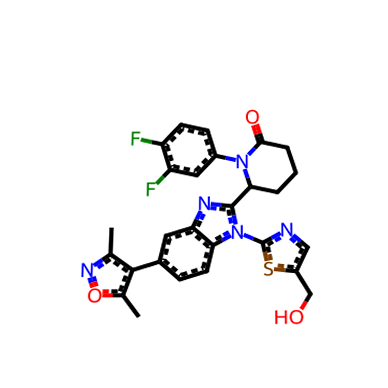 Cc1noc(C)c1-c1ccc2c(c1)nc(C1CCCC(=O)N1c1ccc(F)c(F)c1)n2-c1ncc(CO)s1